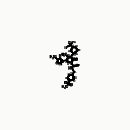 Cc1nnc(-c2cc(C(=O)NCc3ccc(S(C)(=O)=O)cc3)c(=O)n(-c3cccc(C(F)(F)F)c3)c2C)[nH]1